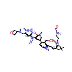 CN/C(=C\C(=N)Nc1cc(-c2ccnc(/C=C/C3=C(NCCNC=O)CC(C)(C)C3)c2CO)cn(C)c1=O)CN(C)C1COC1